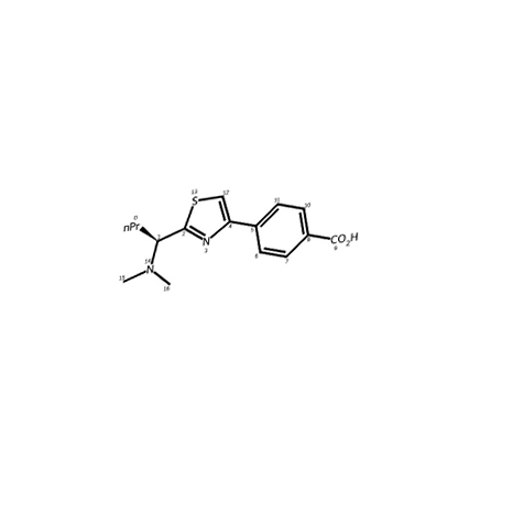 CCC[C@@H](c1nc(-c2ccc(C(=O)O)cc2)cs1)N(C)C